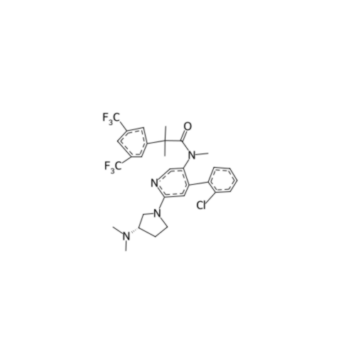 CN(C(=O)C(C)(C)c1cc(C(F)(F)F)cc(C(F)(F)F)c1)c1cnc(N2CC[C@H](N(C)C)C2)cc1-c1ccccc1Cl